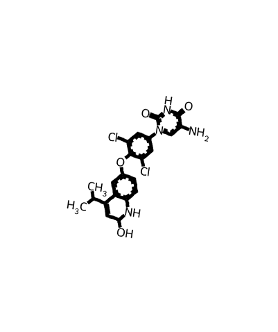 CC(C)C1=CC(O)Nc2ccc(Oc3c(Cl)cc(-n4cc(N)c(=O)[nH]c4=O)cc3Cl)cc21